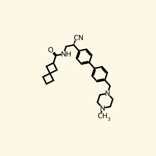 CN1CCN(Cc2ccc(-c3ccc([C@H](C#N)CNC(=O)C4CC5(CCC5)C4)cc3)cc2)CC1